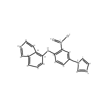 O=[N+]([O-])c1cc(-n2ccnc2)ccc1Sc1cccc2cnccc12